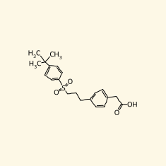 CC(C)(C)c1ccc(S(=O)(=O)CCCc2ccc(CC(=O)O)cc2)cc1